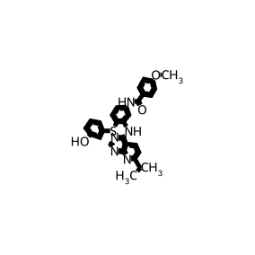 COc1ccc(C(=O)Nc2ccc(Sc3cccc(O)c3)c(Nc3ncnc4nc(C(C)C)ccc34)c2)cc1